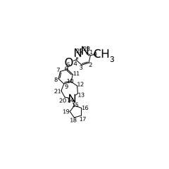 Cc1ccc(Oc2ccc3c(c2)CCN(C2CCCC2)CC3)nn1